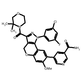 COc1cc2c(cc1-c1cncc(C(N)=O)c1)-c1c(c(C(=O)N3CCOCC3(C)C)nn1-c1cc(F)cc(Cl)c1)CO2